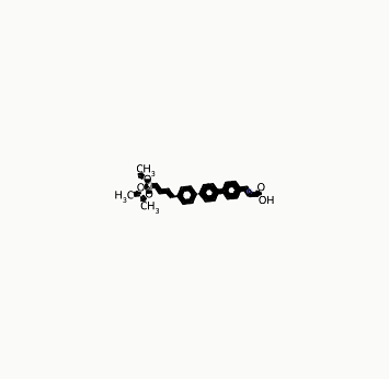 CCO[Si](CCCC[C@H]1CC[C@H](c2ccc(-c3ccc(/C=C/C(=O)O)cc3)cc2)CC1)(OCC)OCC